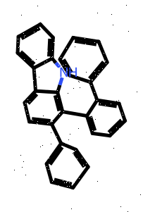 c1ccc(-c2ccccc2-c2c(-c3ccccc3)ccc3c2[nH]c2ccccc23)cc1